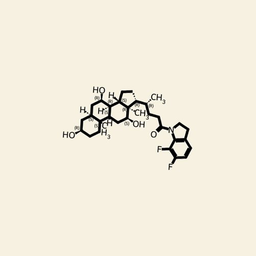 C[C@H](CCC(=O)N1CCc2ccc(F)c(F)c21)[C@H]1CC[C@H]2[C@@H]3[C@H](O)C[C@@H]4C[C@H](O)CC[C@]4(C)[C@H]3C[C@H](O)[C@]12C